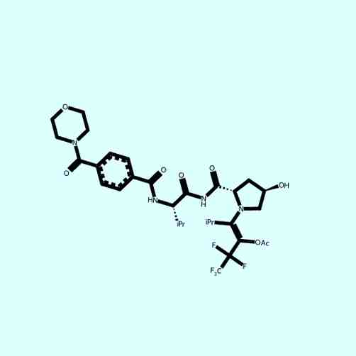 CC(=O)O/C(=C(/C(C)C)N1C[C@H](O)C[C@H]1C(=O)NC(=O)[C@@H](NC(=O)c1ccc(C(=O)N2CCOCC2)cc1)C(C)C)C(F)(F)C(F)(F)F